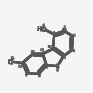 Oc1nccc2sc3ccc(Cl)cc3c12